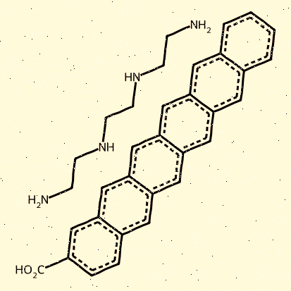 NCCNCCNCCN.O=C(O)c1ccc2cc3cc4cc5cc6ccccc6cc5cc4cc3cc2c1